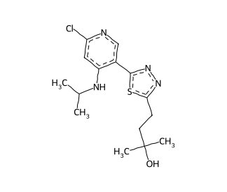 CC(C)Nc1cc(Cl)ncc1-c1nnc(CCC(C)(C)O)s1